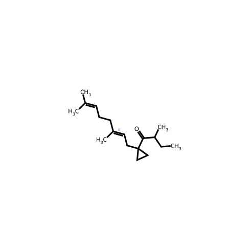 CCC(C)C(=O)C1(C/C=C(\C)CCC=C(C)C)CC1